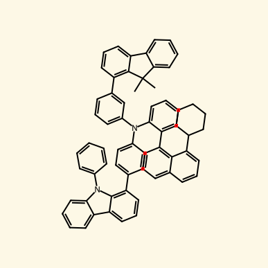 CC1(C)c2ccccc2-c2cccc(-c3cccc(N(c4ccc(-c5cccc6c7ccccc7n(-c7ccccc7)c56)cc4)c4ccccc4-c4cccc5cccc(C6CCCCC6)c45)c3)c21